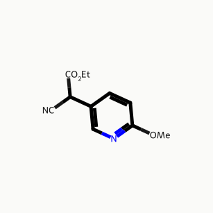 CCOC(=O)C(C#N)c1ccc(OC)nc1